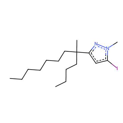 CCCCCCCC(C)(CCCC)c1cc(I)n(C)n1